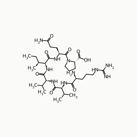 CC[C@H](C)[C@H](NC(=O)[C@@H](NC(=O)[C@@H](NC(=O)[C@@H](N)CCCNC(=N)N)C(C)C)C(C)C)C(=O)N[C@@H](CCC(N)=O)C(=O)N1CCC[C@H]1C(=O)O